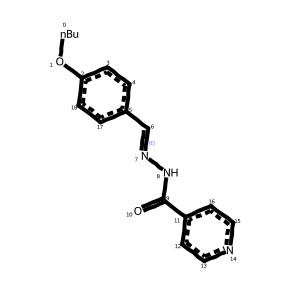 CCCCOc1ccc(/C=N/NC(=O)c2ccncc2)cc1